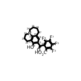 O=C(O)c1c(F)c(F)c(F)c(F)c1C(=O)c1cc2c3c(c1O)CCCN3CCCC2